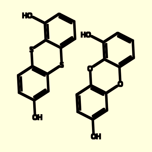 Oc1ccc2c(c1)Oc1cccc(O)c1O2.Oc1ccc2c(c1)Sc1cccc(O)c1S2